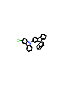 Clc1ccc2c(c1)c1ccccc1n2-c1ccc2c(c1)C1(c3ccccc3-2)C2CC3CC(C2)CC1C3